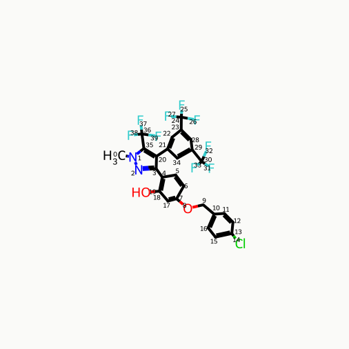 Cn1nc(-c2ccc(OCc3ccc(Cl)cc3)cc2O)c(-c2cc(C(F)(F)F)cc(C(F)(F)F)c2)c1C(F)(F)F